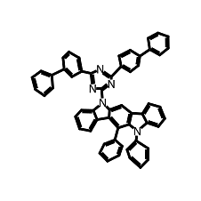 c1ccc(-c2ccc(-c3nc(-c4cccc(-c5ccccc5)c4)nc(-n4c5ccccc5c5c(-c6ccccc6)c6c(cc54)c4ccccc4n6-c4ccccc4)n3)cc2)cc1